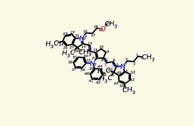 CCCCN1/C(=C/C=C2\CCC(/C=C/C3=[N+](CCCOC)c4ccc(C)cc4C3(C)C)=C2N(c2ccccc2)c2ccccc2)C(C)(C)c2cc(C)ccc21